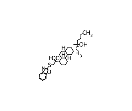 CCCC[C@@](C)(O)C[C@@H]1CC[C@@H]2[C@H](CC[C@]3(C)[C@@H](C(=O)CSc4nc5ccccc5o4)CCC[C@@H]23)C1